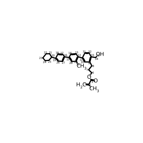 C=C(C)C(=O)OCCCc1cc(-c2ccc(-c3ccc(C4CCCCC4)cc3)cc2C)ccc1CO